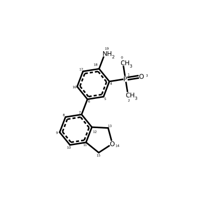 CP(C)(=O)c1cc(-c2cccc3c2COC3)ccc1N